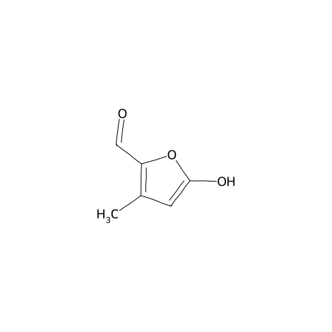 Cc1cc(O)oc1C=O